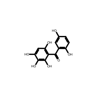 O=C(c1cc(O)ccc1O)c1c(O)cc(O)c(O)c1O